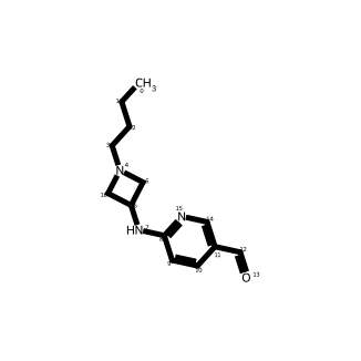 CCCCN1CC(Nc2ccc(C=O)cn2)C1